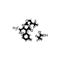 CC(N)c1nc2scc(C(F)(F)F)n2c(=O)c1-c1cccc(F)c1.O=C(O)C(F)(F)F